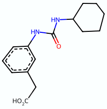 O=C(O)Cc1cccc(NC(=O)NC2CCCCC2)c1